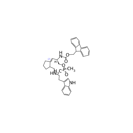 CP(C)(=O)OC[C@@H](/C=C1/CCCC1CNCCc1c[nH]c2ccccc12)NC(=O)OCC1c2ccccc2-c2ccccc21